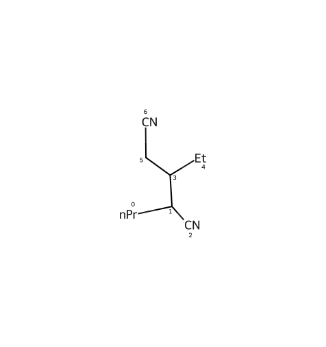 CCCC(C#N)C(CC)CC#N